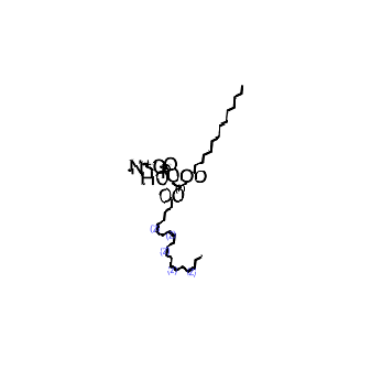 CC/C=C\C/C=C\C/C=C\C/C=C\C/C=C\CCCC(=O)O[C@H](COC(=O)CCCCCCCCCCCCC)COP(=O)(O)OCC[N+](C)(C)C